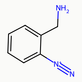 N#[N+]c1ccccc1CN